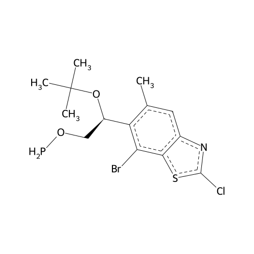 Cc1cc2nc(Cl)sc2c(Br)c1[C@@H](COP)OC(C)(C)C